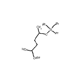 COC(O)CCC(C)O[Si](C(C)C)(C(C)C)C(C)C